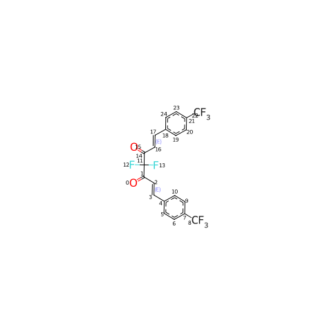 O=C(/C=C/c1ccc(C(F)(F)F)cc1)C(F)(F)C(=O)/C=C/c1ccc(C(F)(F)F)cc1